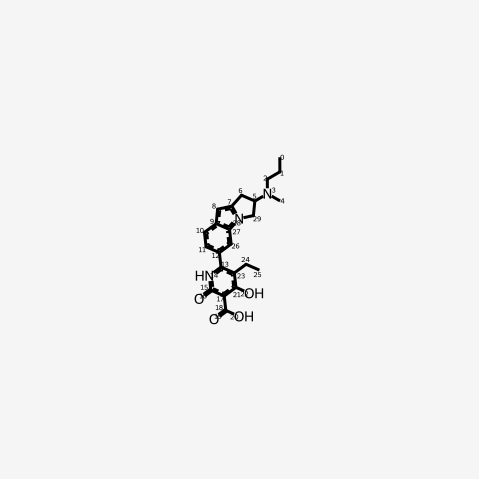 CCCN(C)C1Cc2cc3ccc(-c4[nH]c(=O)c(C(=O)O)c(O)c4CC)cc3n2C1